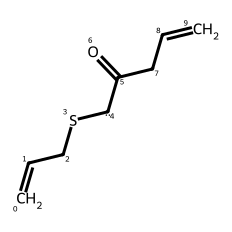 C=CCS[C]C(=O)CC=C